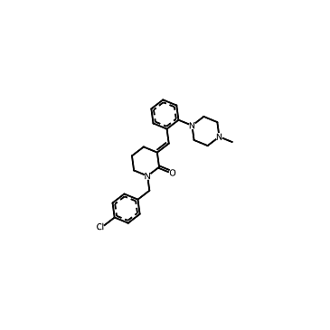 CN1CCN(c2ccccc2/C=C2\CCCN(Cc3ccc(Cl)cc3)C2=O)CC1